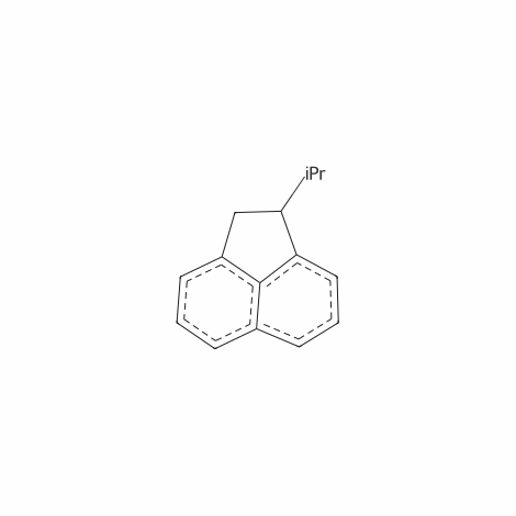 CC(C)C1Cc2cccc3cccc1c23